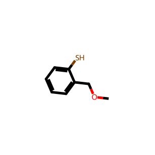 COCc1ccccc1S